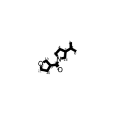 CC(C)C1CCN(C(=O)C2CCOC2)C1